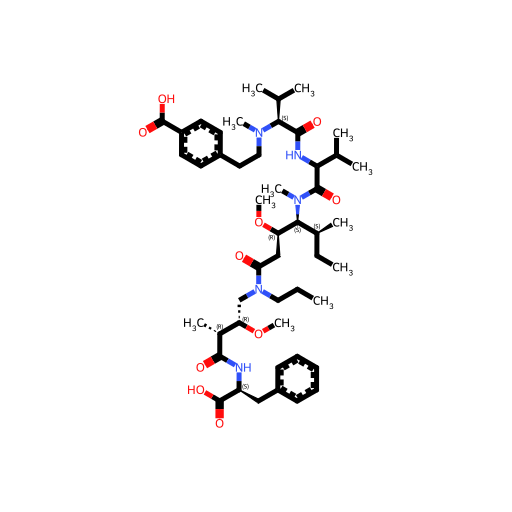 CCCN(C[C@H](OC)[C@@H](C)C(=O)N[C@@H](Cc1ccccc1)C(=O)O)C(=O)C[C@@H](OC)[C@H]([C@@H](C)CC)N(C)C(=O)C(NC(=O)[C@H](C(C)C)N(C)CCc1ccc(C(=O)O)cc1)C(C)C